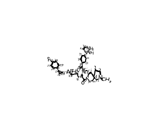 CN1CCC2(CCN(C(=O)[C@H](CCCN[C@@H]3C[C@H]3c3ccc(F)cc3)NC(=O)c3ccc(N4C=CNN4)cc3)CC2)C1